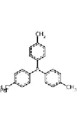 Cc1ccc(P(c2ccc(C)cc2)c2ccc(C)cc2)cc1.[Pd]